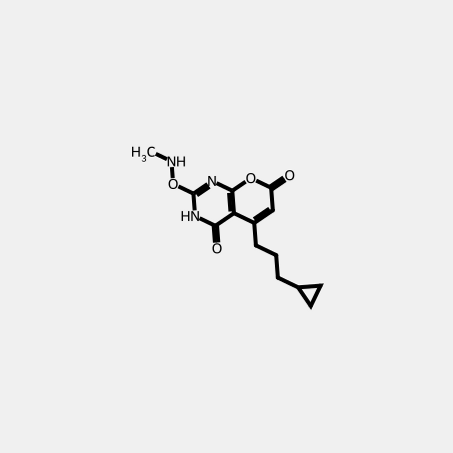 CNOc1nc2oc(=O)cc(CCCC3CC3)c2c(=O)[nH]1